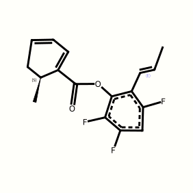 C/C=C/c1c(F)cc(F)c(F)c1OC(=O)C1=CC=CC[C@@H]1C